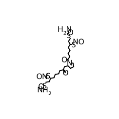 NOSCCC(CCCCC(=O)CC1CCCN1C(=O)CCCCC(CCSON)SN=O)SN=O